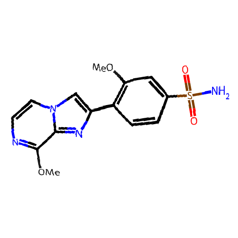 COc1cc(S(N)(=O)=O)ccc1-c1cn2ccnc(OC)c2n1